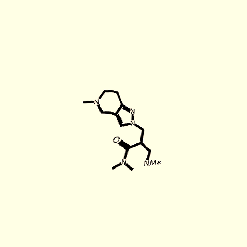 CNCC(Cn1cc2c(n1)CCN(C)C2)C(=O)N(C)C